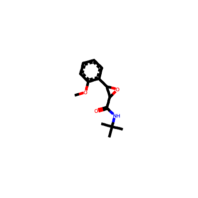 COc1ccccc1C1OC1C(=O)NC(C)(C)C